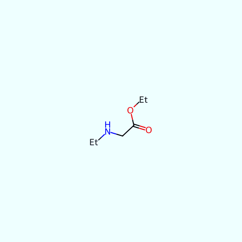 CCNCC(=O)OCC